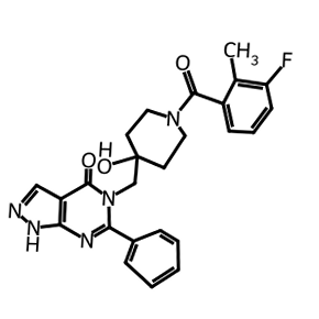 Cc1c(F)cccc1C(=O)N1CCC(O)(Cn2c(-c3ccccc3)nc3[nH]ncc3c2=O)CC1